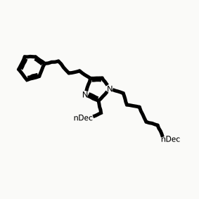 CCCCCCCCCCCCCCCn1cc(CCCc2ccccc2)nc1CCCCCCCCCCC